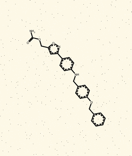 NC(=O)OCc1cc(-c2ccc(NCc3ccc(OCc4ccccc4)cc3)cc2)no1